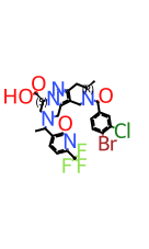 CC(c1ccc(C(F)(F)F)nc1)N1C[C@@H](C(=O)O)n2nc3c(c2C1=O)CN(C(=O)c1ccc(Br)c(Cl)c1)[C@H](C)C3